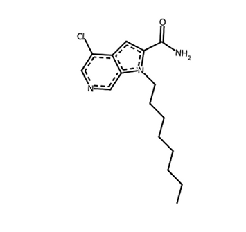 CCCCCCCCn1c(C(N)=O)cc2c(Cl)cncc21